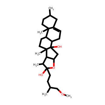 COCC(C)CCC1(O)OC2CC3(O)C4CC=C5CC(C)CCC5(C)C4CCC3(C)C2C1C